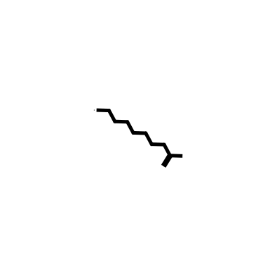 [CH2]CCCCCCCC(=C)C